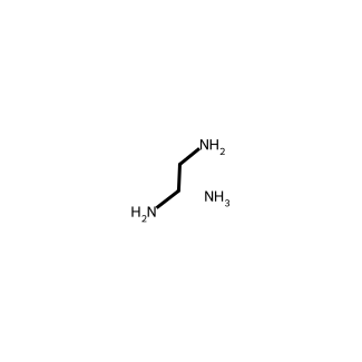 N.NCCN